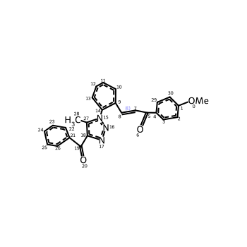 COc1ccc(C(=O)/C=C/c2ccccc2-n2nnc(C(=O)c3ccccc3)c2C)cc1